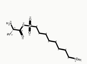 CCCCCCCCCCCCCCCCCCS(=O)(=O)OC(=O)[C@@H](N)C(C)C